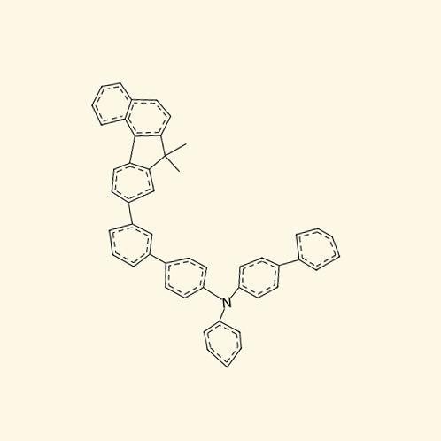 CC1(C)c2cc(-c3cccc(-c4ccc(N(c5ccccc5)c5ccc(-c6ccccc6)cc5)cc4)c3)ccc2-c2c1ccc1ccccc21